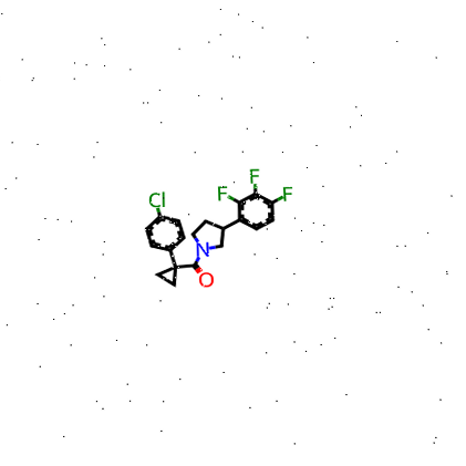 O=C(N1CCC(c2ccc(F)c(F)c2F)C1)C1(c2ccc(Cl)cc2)CC1